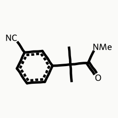 CNC(=O)C(C)(C)c1cccc(C#N)c1